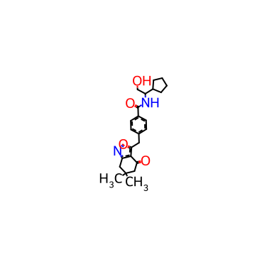 CC1(C)CC(=O)c2c(noc2Cc2ccc(C(=O)NC(CO)C3CCCC3)cc2)C1